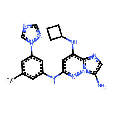 Nc1cnc2c(NC3CCC3)cc(Nc3cc(-n4cncn4)cc(C(F)(F)F)c3)nn12